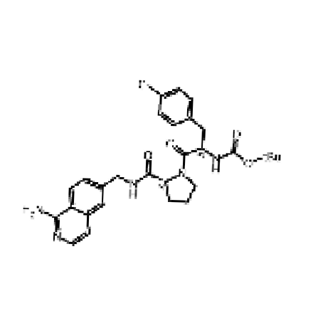 CC(C)(C)OC(=O)N[C@H](Cc1ccc(Cl)cc1)C(=O)N1CCC[C@H]1C(=O)NCc1ccc2c(N)nccc2c1